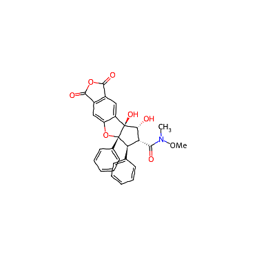 CON(C)C(=O)[C@H]1[C@@H](O)[C@@]2(O)c3cc4c(cc3O[C@@]2(c2ccccc2)[C@@H]1c1ccccc1)C(=O)OC4=O